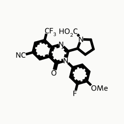 COc1ccc(-n2c(C3CCCN3C(=O)O)nc3c(C(F)(F)F)cc(C#N)cc3c2=O)cc1F